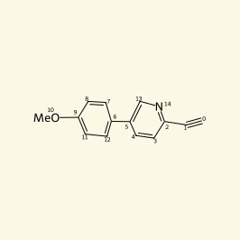 C#Cc1ccc(-c2ccc(OC)cc2)cn1